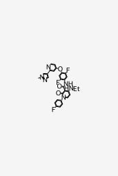 CCNc1ccn(-c2ccc(F)cc2)c(=O)c1C(=O)Nc1cc(F)c(Oc2ccnc(-c3cnn(C)c3)c2)cc1F